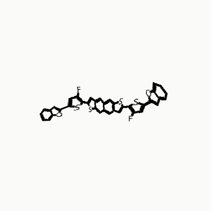 Fc1cc(-c2cc3ccccc3o2)sc1-c1cc2cc3cc4sc(-c5sc(-c6cc7ccccc7o6)cc5F)cc4cc3cc2s1